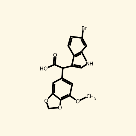 COc1cc(C(C(=O)O)c2c[nH]c3cc(Br)ccc23)cc2c1OCO2